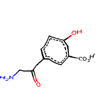 NCC(=O)c1ccc(O)c(C(=O)O)c1